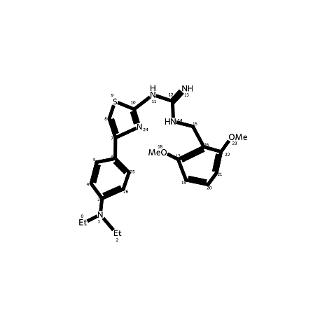 CCN(CC)c1ccc(-c2csc(NC(=N)NCc3c(OC)cccc3OC)n2)cc1